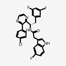 O=C(Cc1c[nH]c2ccc(F)cc12)N[C@@H](Cc1cc(F)cc(F)c1)c1nccnc1-c1ccc(Cl)cc1